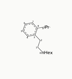 CCCCCCCCc1ccccc1[C](C)C